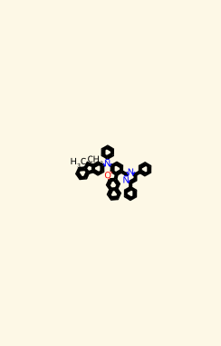 CC1(C)c2ccccc2-c2ccc(N(c3ccccc3)c3ccc(-c4nc(-c5ccccc5)cc(-c5ccccc5)n4)c4c3oc3cc5ccccc5cc34)cc21